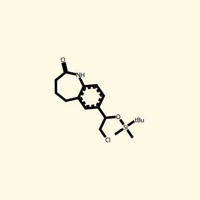 CC(C)(C)[Si](C)(C)OC(CCl)c1ccc2c(c1)CCCC(=O)N2